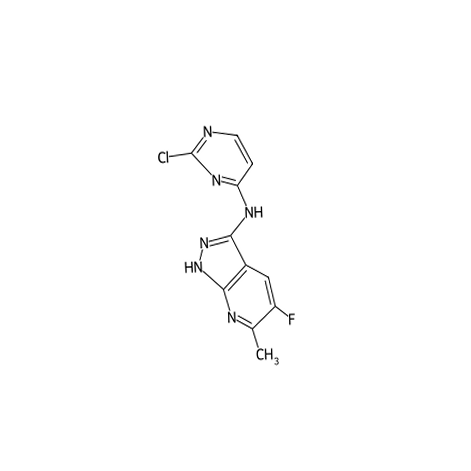 Cc1nc2[nH]nc(Nc3ccnc(Cl)n3)c2cc1F